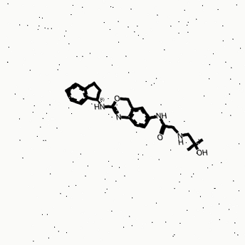 CC(C)(O)CNCC(=O)Nc1ccc2c(c1)COC(N[C@@H]1CCc3ccccc31)=N2